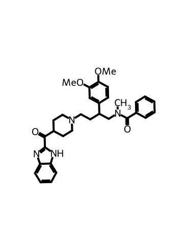 COc1ccc(C(CCN2CCC(C(=O)c3nc4ccccc4[nH]3)CC2)CN(C)C(=O)c2ccccc2)cc1OC